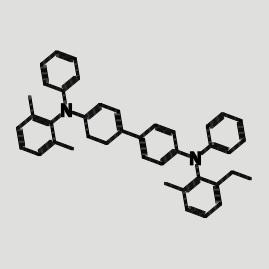 CCc1cccc(C)c1N(c1ccccc1)c1ccc(C2=CC=C(N(c3ccccc3)c3c(C)cccc3C)CC2)cc1